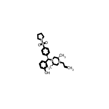 C=CCN1C[C@@H](C)N([C@H](c2ccc(S(=O)(=O)N3CCCC3)cc2)c2cccc(O)c2)C[C@@H]1C